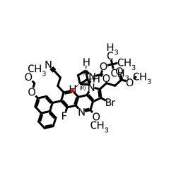 COCOc1cc(-c2c(CCC#N)cc3c(nc(OC)c4c(Br)c(CCC(=O)OC)n([C@H]5[C@@H]6C[C@H]5N(C(=O)OC(C)(C)C)C6)c43)c2F)c2ccccc2c1